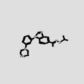 CC(=NOC(C)C)c1ccc2c(c1)ncn2-c1cccc(N2CCNCC2)c1